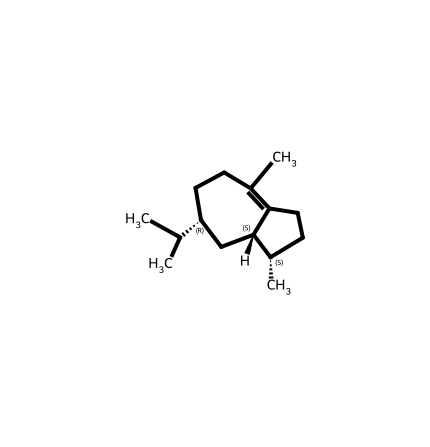 CC1=C2CC[C@H](C)[C@@H]2C[C@H](C(C)C)CC1